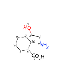 NCCO.O=C(O)C1CCCCC1